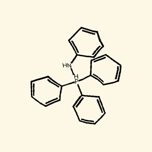 c1ccc(N[PH](c2ccccc2)(c2ccccc2)c2ccccc2)cc1